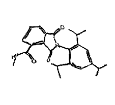 CNC(=O)c1cccc2c1C(=O)N(c1c(C(C)C)cc(C(C)C)cc1C(C)C)C2=O